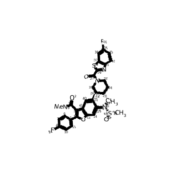 CNC(=O)c1c(-c2ccc(F)cc2)oc2cc(N(C)[S+](C)[O-])c([C@@H]3CCCN(C(=O)c4nc5ccc(F)cc5s4)C3)cc12